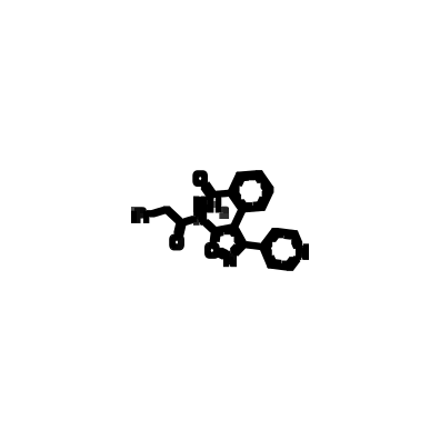 CC(C)CC(=O)Nc1onc(-c2ccncc2)c1-c1ccccc1C(N)=O